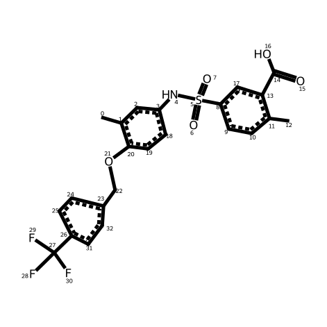 Cc1cc(NS(=O)(=O)c2ccc(C)c(C(=O)O)c2)ccc1OCc1ccc(C(F)(F)F)cc1